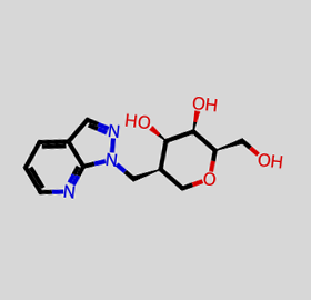 OC[C@H]1OC[C@@H](Cn2ncc3cccnc32)[C@@H](O)[C@H]1O